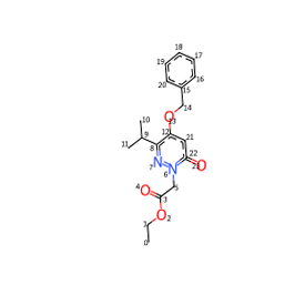 CCOC(=O)Cn1nc(C(C)C)c(OCc2ccccc2)cc1=O